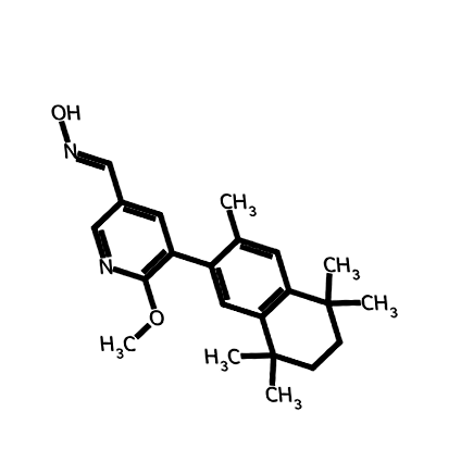 COc1ncc(/C=N/O)cc1-c1cc2c(cc1C)C(C)(C)CCC2(C)C